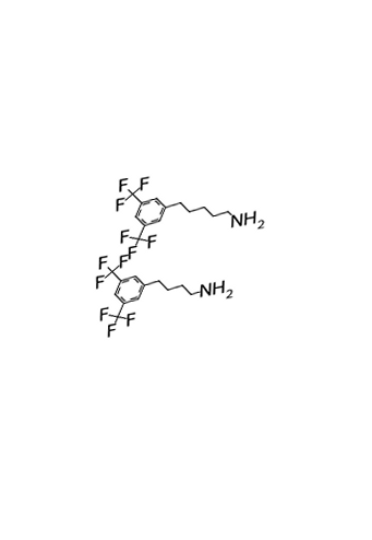 NCCCCCc1cc(C(F)(F)F)cc(C(F)(F)F)c1.NCCCCc1cc(C(F)(F)F)cc(C(F)(F)F)c1